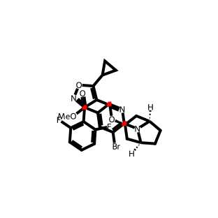 COC(=O)c1cnc(N2[C@@H]3CC[C@H]2C[C@@H](OCc2c(-c4c(F)cccc4F)noc2C2CC2)C3)c(Br)c1